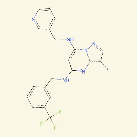 Cc1cnn2c(NCc3cccnc3)cc(NCc3cccc(C(F)(F)F)c3)nc12